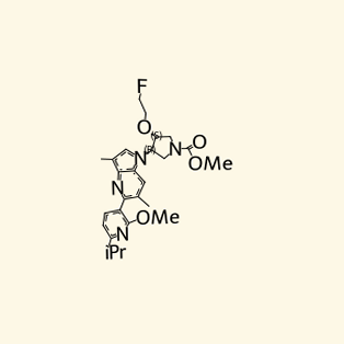 COC(=O)N1C[C@H](OCCF)[C@H](n2cc(C)c3nc(-c4ccc(C(C)C)nc4OC)c(C)cc32)C1